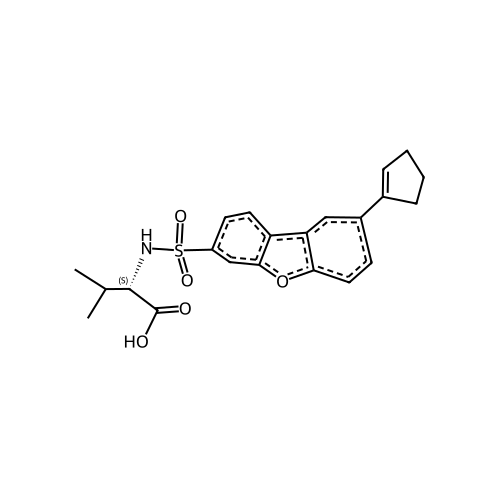 CC(C)[C@H](NS(=O)(=O)c1ccc2c(c1)oc1ccc(C3=CCCC3)cc12)C(=O)O